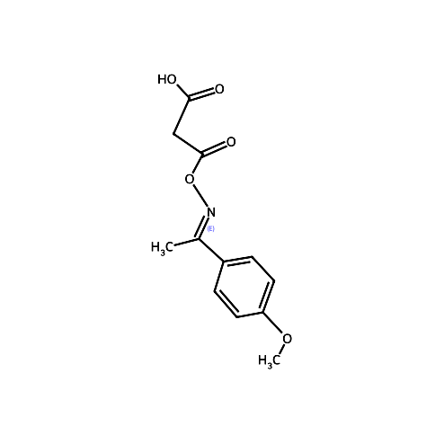 COc1ccc(/C(C)=N/OC(=O)CC(=O)O)cc1